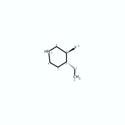 CC[C@@H]1CCNC[C@H]1F